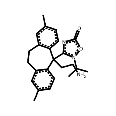 Cc1ccc2c(c1)CCc1cc(C)ccc1C2(CCN)c1nc(=O)on1C(C)C